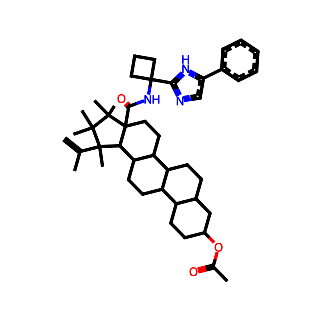 C=C(C)C1(C)C2C3CCC4C5CCC(OC(C)=O)CC5CCC4C3CCC2(C(=O)NC2(c3ncc(-c4ccccc4)[nH]3)CCC2)C(C)(C)C1(C)C